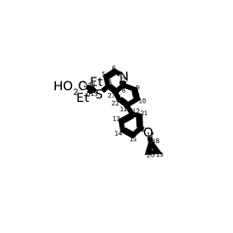 CCC(CC)(Sc1ccnc2ccc(-c3cccc(OC4CC4)c3)cc12)C(=O)O